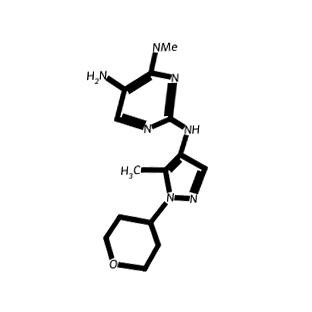 CNc1nc(Nc2cnn(C3CCOCC3)c2C)ncc1N